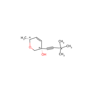 C[C@@H]1C=C[C@@](O)(C#C[Si](C)(C)C)CO1